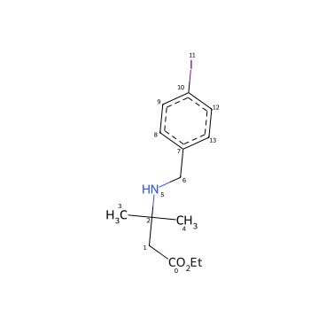 CCOC(=O)CC(C)(C)NCc1ccc(I)cc1